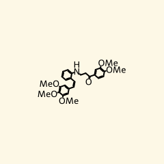 COc1ccc(C(=O)CCNc2ccccc2/C=C\c2cc(OC)c(OC)c(OC)c2)cc1OC